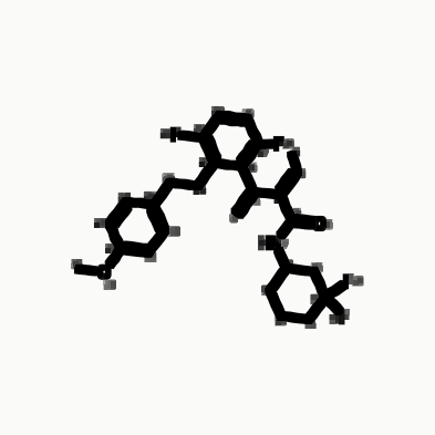 C=C(/C(=C\C)C(=O)NC1CCCC(F)(F)C1)c1c(F)ccc(F)c1CCc1ccc(OC)cc1